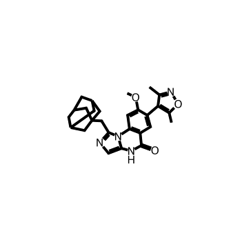 COc1cc2c(cc1-c1c(C)noc1C)c(=O)[nH]c1cnc(CC34CC5CC(CC(C5)C3)C4)n12